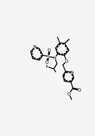 COC(=O)c1ccc(COc2cc(C)c(C)cc2N(CC(C)F)S(=O)(=O)c2cccnc2)nc1